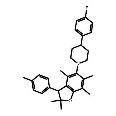 Cc1ccc(C2c3c(C)c(N4CCC(c5ccc(F)cc5)CC4)c(C)c(C)c3OC2(C)C)cc1